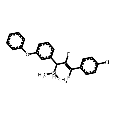 C[SiH](C)C(C(F)=C(F)c1ccc(Cl)cc1)c1cccc(Oc2ccccc2)c1